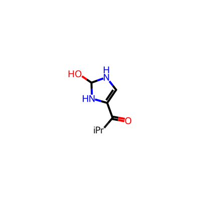 CC(C)C(=O)C1=CNC(O)N1